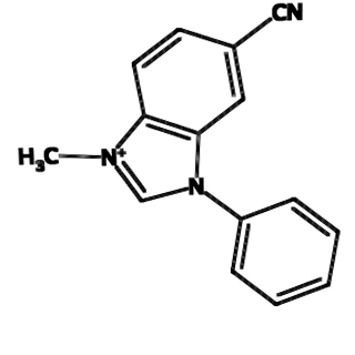 C[n+]1cn(-c2ccccc2)c2cc(C#N)ccc21